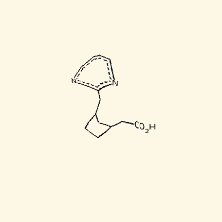 O=C(O)C1CCC1c1ncccn1